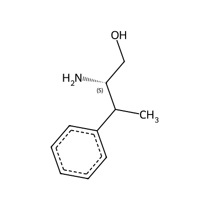 CC(c1ccccc1)[C@H](N)CO